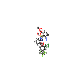 CCOC(=O)c1ccccc1SNc1ccccc1Oc1ccc(C(F)(F)F)cc1Cl